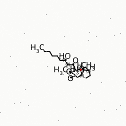 CCCCCC[C@@H](O)[C@@H](C)C(=O)N1[C@H]2C[C@@H]3CC[C@@]2(CS1(=O)=O)C3(C)C